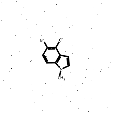 Cn1ccc2c(Cl)c(Br)ccc21